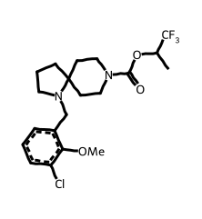 COc1c(Cl)cccc1CN1CCCC12CCN(C(=O)OC(C)C(F)(F)F)CC2